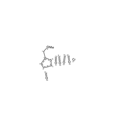 CO[C]c1cccs1.[C]=O.[C]=O.[C]=O.[C]=O.[C]=O.[Cr]